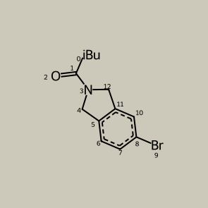 CCC(C)C(=O)N1Cc2ccc(Br)cc2C1